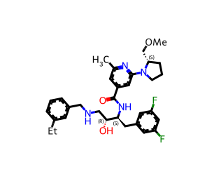 CCc1cccc(CNC[C@@H](O)[C@H](Cc2cc(F)cc(F)c2)NC(=O)c2cc(C)nc(N3CCC[C@H]3COC)c2)c1